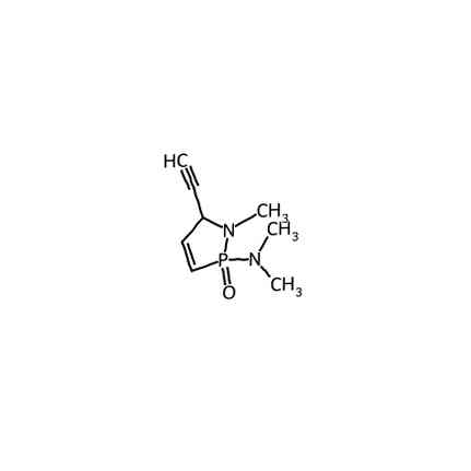 C#CC1C=CP(=O)(N(C)C)N1C